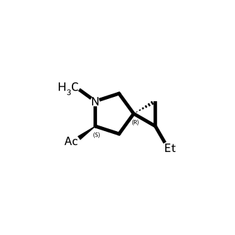 CCC1C[C@@]12C[C@@H](C(C)=O)N(C)C2